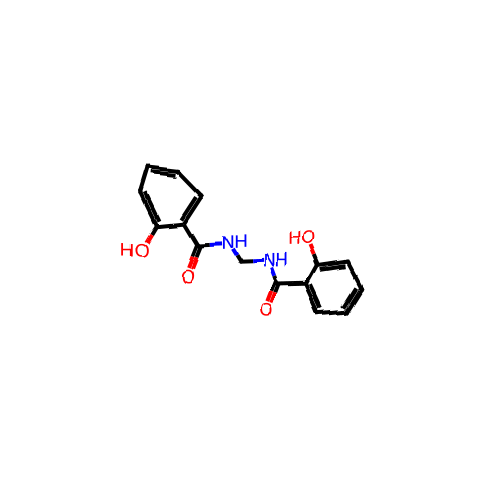 O=C(NCNC(=O)c1ccccc1O)c1ccccc1O